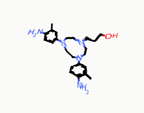 Cc1cc(N2CCN(CCCO)CCN(c3ccc(N)c(C)c3)CC2)ccc1N